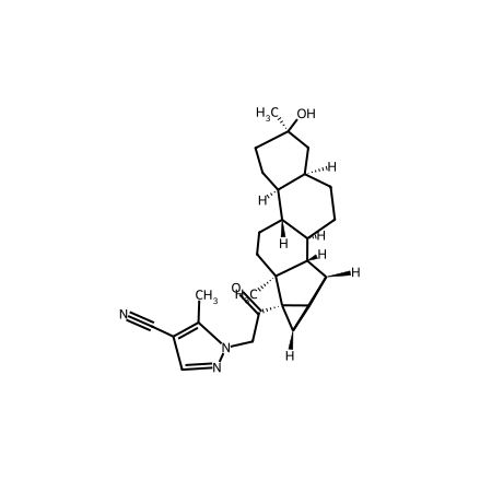 Cc1c(C#N)cnn1CC(=O)[C@@]12C3[C@@H]([C@H]4[C@@H]5CC[C@@H]6C[C@](C)(O)CC[C@@H]6[C@H]5CC[C@@]41C)[C@H]32